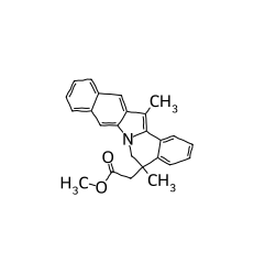 COC(=O)CC1(C)Cn2c(c(C)c3cc4ccccc4cc32)-c2ccccc21